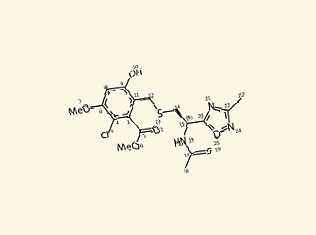 COC(=O)c1c(Cl)c(OC)cc(O)c1CSC[C@H](NC(C)=S)c1nc(C)no1